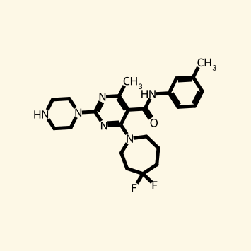 Cc1cccc(NC(=O)c2c(C)nc(N3CCNCC3)nc2N2CCCC(F)(F)CC2)c1